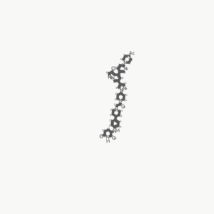 CC(=O)N1CCN(c2ccc(-c3cc(-c4cnn(C5CCN(C(=O)CN6CCC(c7ccc(NC8CCC(=O)NC8=O)cc7)CC6)CC5)c4)cn4ncc(C#N)c34)cn2)CC1